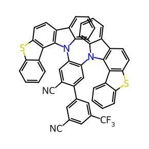 N#Cc1cc(-c2cc(-n3c4ccccc4c4ccc5sc6ccccc6c5c43)c(-n3c4ccccc4c4ccc5sc6ccccc6c5c43)cc2C#N)cc(C(F)(F)F)c1